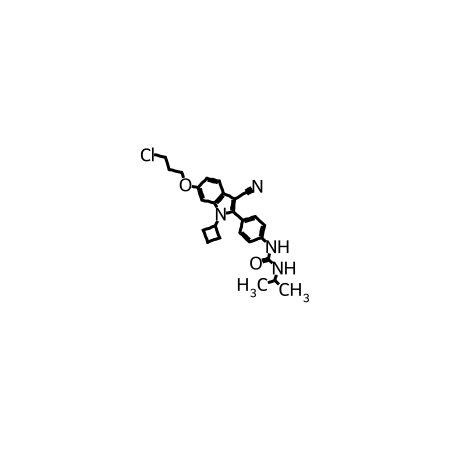 CC(C)NC(=O)Nc1ccc(-c2c(C#N)c3ccc(OCCCCl)cc3n2C2CCC2)cc1